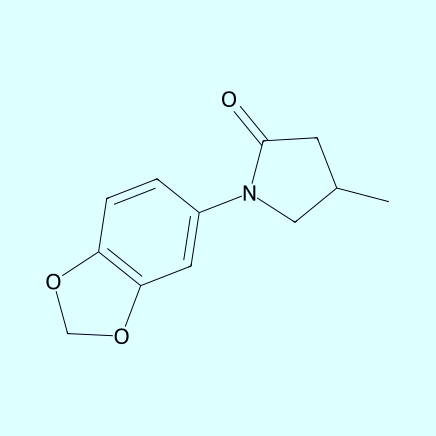 CC1CC(=O)N(c2ccc3c(c2)OCO3)C1